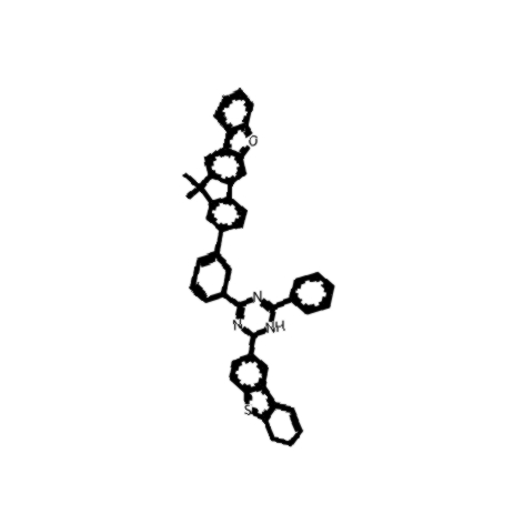 CC1(C)c2cc(C3=CC=CC(C4=NC(c5ccc6sc7c(c6c5)C=CCC7)NC(c5ccccc5)=N4)C3)ccc2-c2cc3oc4ccccc4c3cc21